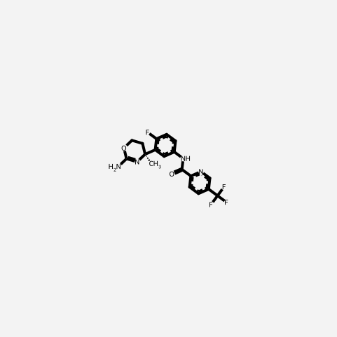 C[C@@]1(c2cc(NC(=O)c3ccc(C(F)(F)F)cn3)ccc2F)CCOC(N)=N1